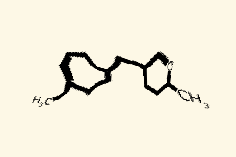 CC1=CCC(CC2CCC(C)OC2)CC1